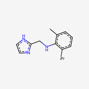 Cc1cccc(C(C)C)c1NCc1ncc[nH]1